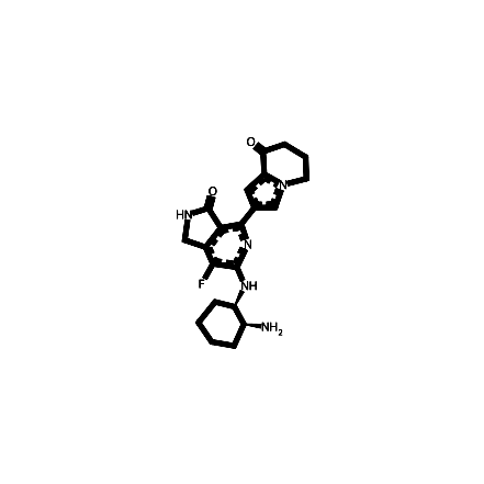 N[C@H]1CCCC[C@H]1Nc1nc(-c2cc3n(c2)CCCC3=O)c2c(c1F)CNC2=O